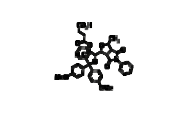 COc1ccc(C(OC(C(C)OC(=O)CCC(=O)O)C2OC(C)C3C(=O)N(c4ccccc4)C(=O)C23)(c2ccccc2)c2ccc(OC)cc2)cc1